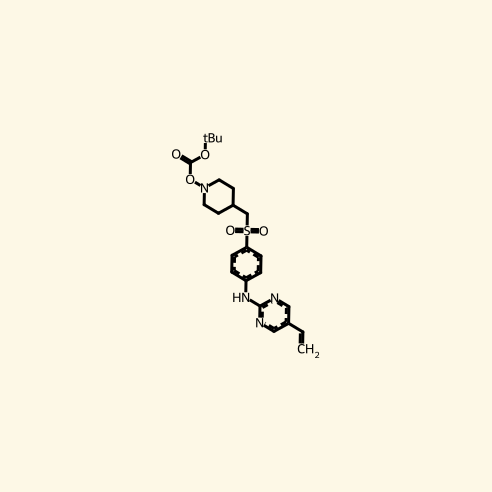 C=Cc1cnc(Nc2ccc(S(=O)(=O)CC3CCN(OC(=O)OC(C)(C)C)CC3)cc2)nc1